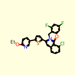 CCOc1ccc(-c2ccc(-c3cc4cccc(Cl)c4c(=O)n3Cc3ccc(F)cc3F)s2)cn1